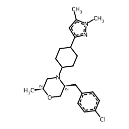 Cc1cc(C2CCC(N3C[C@H](C)OC[C@@H]3Cc3ccc(Cl)cc3)CC2)nn1C